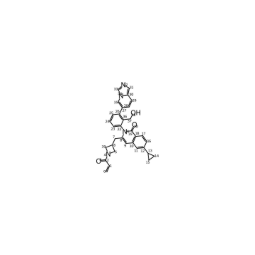 C=CC(=O)N1CC(Cc2cc3cc(C4CC4)ccc3c(=O)n2-c2cccc(-c3ccc4cncn4c3)c2CO)C1